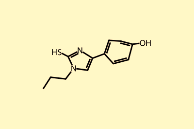 CCCn1cc(-c2ccc(O)cc2)nc1S